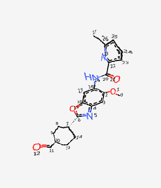 COc1cc2nc([C@H]3CC[C@H](C=O)CC3)oc2cc1NC(=O)c1cccc(C)n1